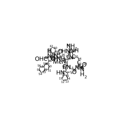 CN[C@@H]1C(=O)N[C@@H](Cc2c[nH]c3ccccc23)C(=O)N[C@H](C(N)=O)CCCCNC1(CCNC(=N)N)CC[C@@H]1NC(=O)N(C2(C(=O)N[C@@H](C=O)Cc3ccc4ccccc4c3)CCCCC2)C1=O